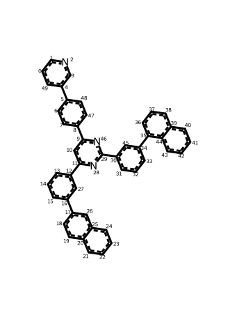 c1cncc(-c2ccc(-c3cc(-c4cccc(-c5ccc6ccccc6c5)c4)nc(-c4cccc(-c5cccc6ccccc56)c4)n3)cc2)c1